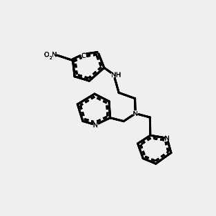 O=[N+]([O-])c1ccc(NCCN(Cc2ccccn2)Cc2ccccn2)cc1